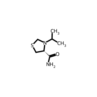 CC(C)N1CSC[C@H]1C(N)=O